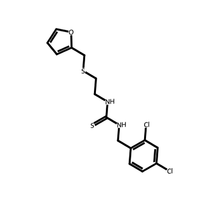 S=C(NCCSCc1ccco1)NCc1ccc(Cl)cc1Cl